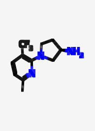 Cc1ccc(C(F)(F)F)c(N2CC[C@@H](N)C2)n1